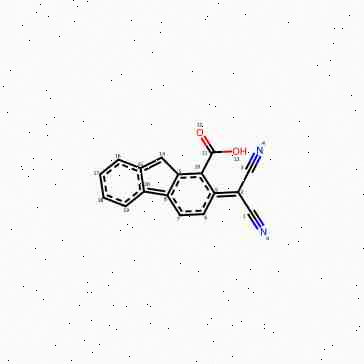 N#CC(C#N)=c1ccc2c(c1C(=O)O)C=c1ccccc1=2